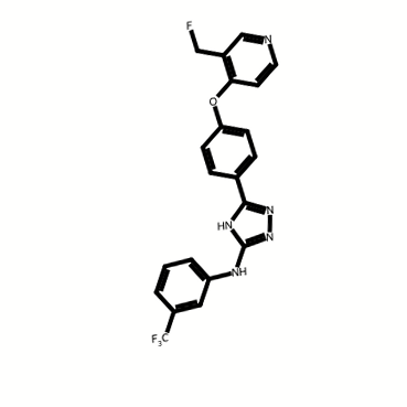 FCc1cnccc1Oc1ccc(-c2nnc(Nc3cccc(C(F)(F)F)c3)[nH]2)cc1